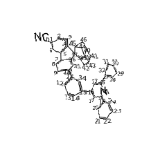 N#Cc1ccc2c(c1)-c1ccc(-c3cccc(-c4cc(-c5ccccc5)nc(-c5ccccc5)c4)c3)cc1C21C2CC3CC(C2)CC1C3